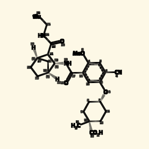 COc1cc(C#N)c(O[C@H]2CC[C@@](C)(C(=O)O)CC2)cc1C(=O)N[C@H]1C(C(=O)NCC(C)(C)C)[C@@H]2CC[C@H]1C2